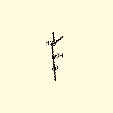 CCCCCCCCCOC(=O)CCCCCCCN(CCO)CCCCCCCCCC(O)OC(CCCCCCCC)CCCCCCCC